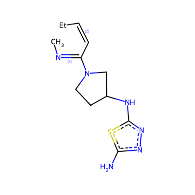 CC/C=C\C(=N/C)N1CCC(Nc2nnc(N)s2)C1